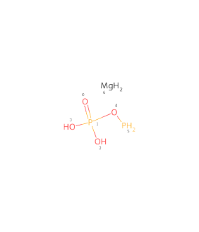 O=P(O)(O)OP.[MgH2]